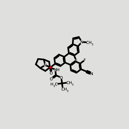 Cn1ccc2cc(-c3ccc(C(=O)N4C5CCC4CC(NC(=O)OC(C)(C)C)C5)cc3-c3ccc(C#N)c(F)c3)c(F)cc21